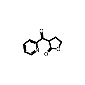 O=C1OCCC1C(=O)c1ccccn1